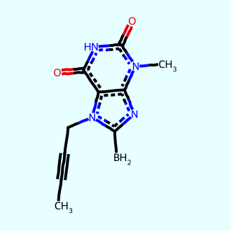 Bc1nc2c(c(=O)[nH]c(=O)n2C)n1CC#CC